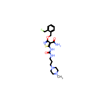 CN1CCN(CCCNC(=O)Nc2snc(OCc3ccccc3CF)c2C(N)=O)CC1